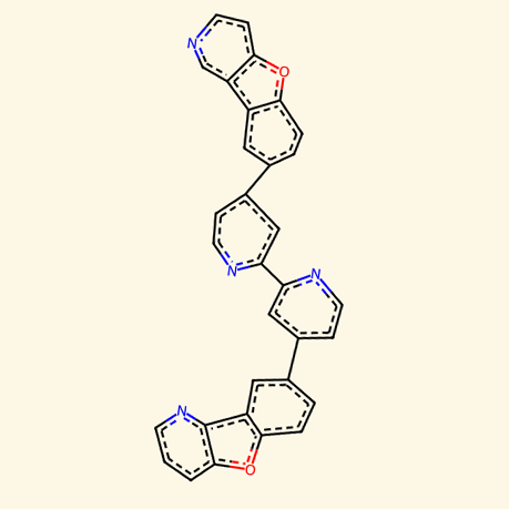 c1cnc2c(c1)oc1ccc(-c3ccnc(-c4cc(-c5ccc6oc7ccncc7c6c5)ccn4)c3)cc12